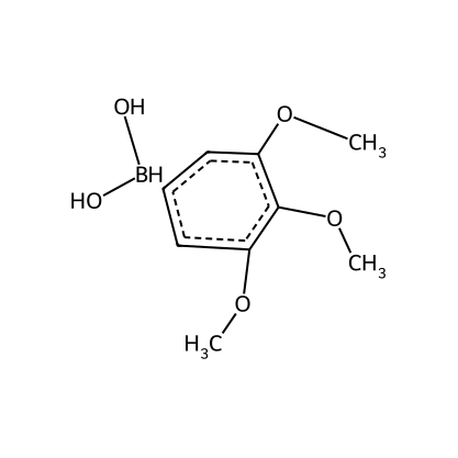 COc1cccc(OC)c1OC.OBO